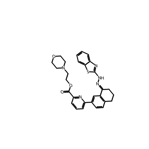 O=C(OCCN1CCOCC1)c1cccc(-c2ccc3c(c2)C(=NNc2nc4ccccc4s2)CCC3)n1